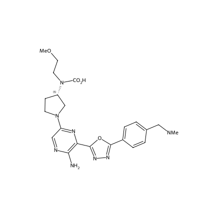 CNCc1ccc(-c2nnc(-c3nc(N4CC[C@H](N(CCOC)C(=O)O)C4)cnc3N)o2)cc1